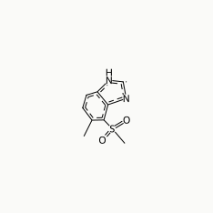 Cc1ccc2[nH][c]nc2c1S(C)(=O)=O